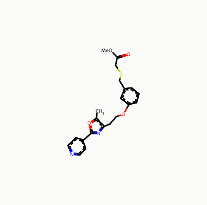 COC(=O)CSCc1cccc(OCCc2nc(-c3ccncc3)oc2C)c1